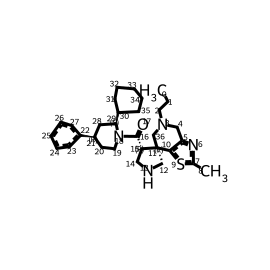 CCCN1Cc2nc(C)sc2[C@]2(CNC[C@@H]2C(=O)N2CC[C@@H](c3ccccc3)C[C@H]2C2CCCCC2)C1